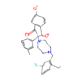 COc1ccc2c(c1)C(=O)C(c1cccc(C)c1)(N1CCN(Cc3cc(F)ccc3C)CC1)C2=O